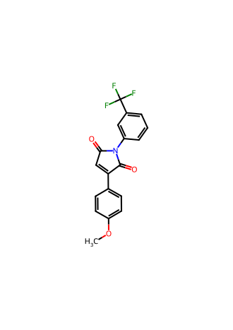 COc1ccc(C2=CC(=O)N(c3cccc(C(F)(F)F)c3)C2=O)cc1